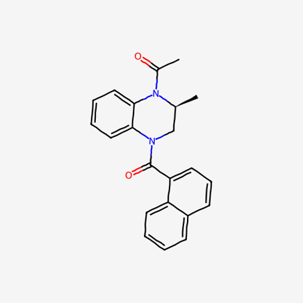 CC(=O)N1c2ccccc2N(C(=O)c2cccc3ccccc23)C[C@@H]1C